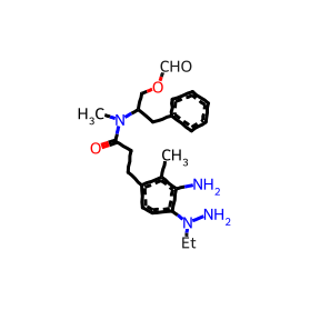 CCN(N)c1ccc(CCC(=O)N(C)C(COC=O)Cc2ccccc2)c(C)c1N